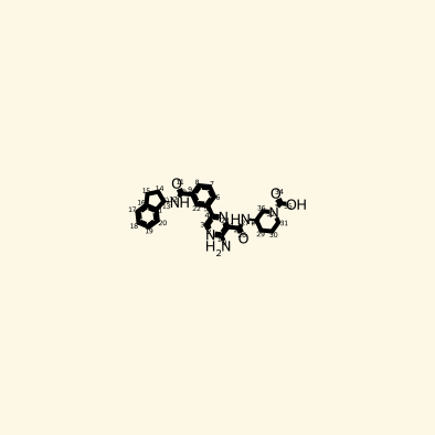 Nc1ncc(-c2cccc(C(=O)N[C@H]3CCc4ccccc43)c2)nc1C(=O)N[C@@H]1CCCN(C(=O)O)C1